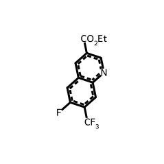 CCOC(=O)c1cnc2cc(C(F)(F)F)c(F)cc2c1